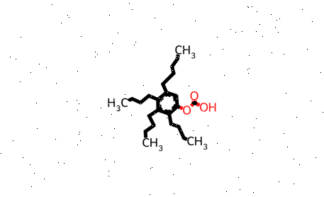 CCCCCc1cc(OC(=O)O)c(CCCC)c(CCCC)c1CCCC